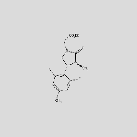 CCOC(=O)CN1C[C@@H](c2c(F)cc(C)cc2F)[C@H](C)C1=O